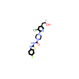 C[C@H](O)Cc1cnc(N2CCN(C(=O)Nc3nc4ccc(F)cc4s3)CC2)c(Cl)c1